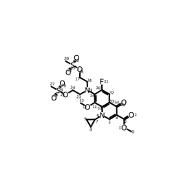 COC(=O)c1cn(C2CC2)c2c(OC)c(N(CCOS(C)(=O)=O)CCOS(C)(=O)=O)c(F)cc2c1=O